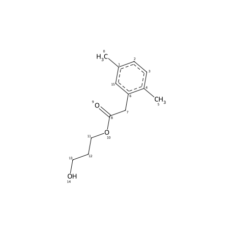 Cc1ccc(C)c(CC(=O)OCCCO)c1